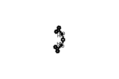 O=C(NCC1CCC(CNC(=O)OCC2c3ccccc3-c3ccccc32)CC1)OCC1c2ccccc2-c2ccccc21